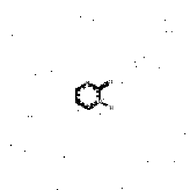 [2H]n1cccnc1=O